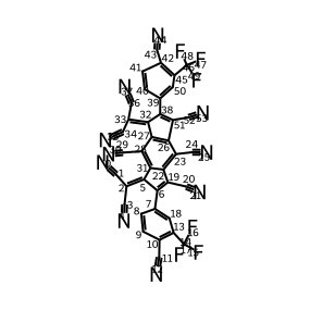 N#CC(C#N)=C1C(c2ccc(C#N)c(C(F)(F)F)c2)=C(C#N)c2c(C#N)c3c(c(C#N)c21)C(=C(C#N)C#N)C(c1ccc(C#N)c(C(F)(F)F)c1)=C3C#N